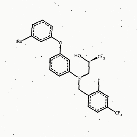 CC(C)(C)c1cccc(Oc2cccc(N(Cc3ccc(C(F)(F)F)cc3F)C[C@@H](O)C(F)(F)F)c2)c1